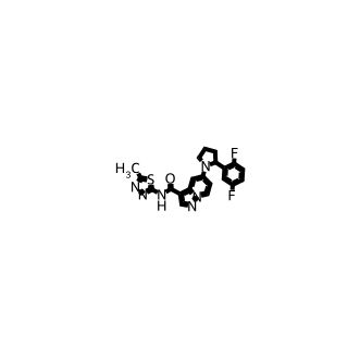 Cc1nnc(NC(=O)c2cnn3ccc(N4CCCC4c4cc(F)ccc4F)cc23)s1